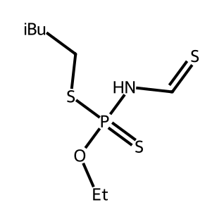 CCOP(=S)(NC=S)SCC(C)CC